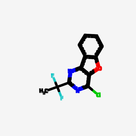 CC(F)(F)c1nc(Cl)c2oc3ccccc3c2n1